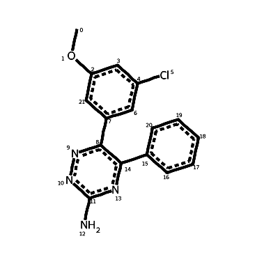 COc1cc(Cl)cc(-c2nnc(N)nc2-c2ccccc2)c1